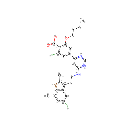 CCCCOc1cc(-c2cc(NCCc3c(C)sc4c(C)cc(F)cc34)ncn2)cc(F)c1C(=O)O